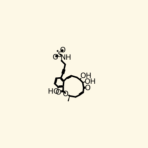 C[C@@H]1C/C=C\C(=O)[C@H](O)[C@H](O)C/C=C\c2c(C#CCCNS(C)(=O)=O)ccc(O)c2C(=O)O1